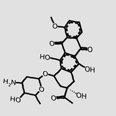 COc1cccc2c1C(=O)c1c(O)c3c(c(O)c1C2=O)C[C@@](O)(C(C)=O)CC3OC1CC(N)C(O)C(C)O1